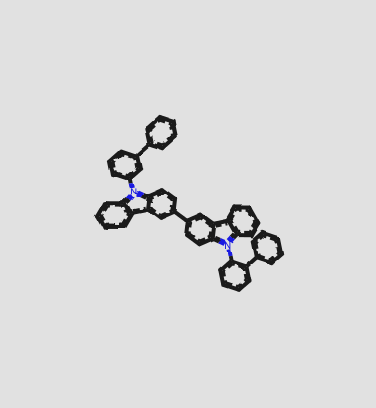 c1ccc(-c2cccc(-n3c4ccccc4c4cc(-c5ccc6c(c5)c5ccccc5n6-c5ccccc5-c5ccccc5)ccc43)c2)cc1